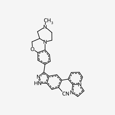 CN1CCN2c3ccc(-c4n[nH]c5cc(C#N)c(-c6cccn7ccnc67)cc45)cc3OCC2C1